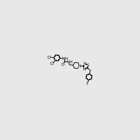 O=C(NCC1CCN(c2nsc(Cc3ccc(F)cc3)n2)CC1)Nc1ccc(Cl)c(Cl)c1